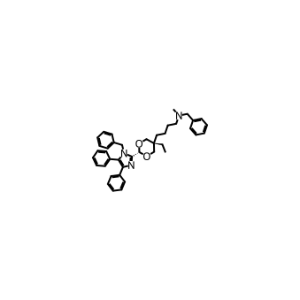 CC[C@]1(CCCCN(C)Cc2ccccc2)CO[C@@H](c2nc(-c3ccccc3)c(-c3ccccc3)n2Cc2ccccc2)OC1